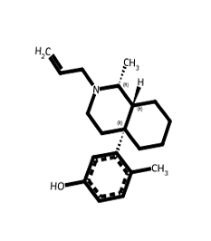 C=CCN1CC[C@]2(c3cc(O)ccc3C)CCCC[C@H]2[C@H]1C